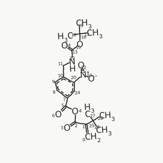 C=C(C(=O)OC(=O)c1ccc(CNC(=O)OC(C)(C)C)c([N+](=O)[O-])c1)C(C)(C)C